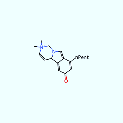 CCCCCC1=CC(=O)C=C2C1=CN1C[N+](C)(C)C=CC21